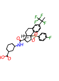 CC(F)(c1ccc2c(c1)CC[C@H]1[C@H](C(=O)NC3CCCC(C(=O)O)C3)CC[C@@]21S(=O)(=O)c1ccc(F)cc1)C(F)(F)F